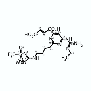 CNC(=NS(=O)(=O)C(F)(F)F)NCCCCc1nccc(NC(N)=NCC(F)(F)F)n1.O=C(O)C=CC(=O)O